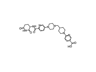 O=C1CCC(NC(=O)c2ccc(N3CCN(CC4CCN(c5ccc(C(=O)O)cn5)CC4)CC3)cn2)C(=O)N1